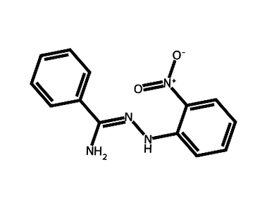 NC(=NNc1ccccc1[N+](=O)[O-])c1ccccc1